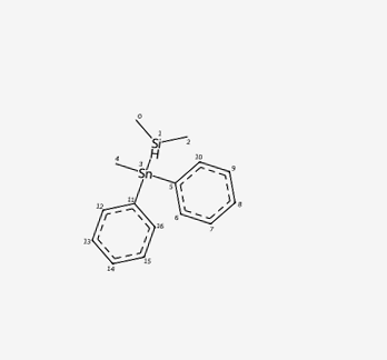 C[SiH](C)[Sn]([CH3])([c]1ccccc1)[c]1ccccc1